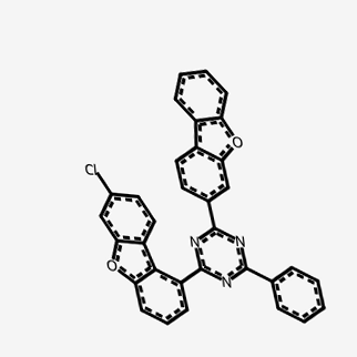 Clc1ccc2c(c1)oc1cccc(-c3nc(-c4ccccc4)nc(-c4ccc5c(c4)oc4ccccc45)n3)c12